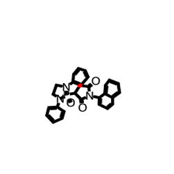 O=C1CC(P2(=O)N(c3ccccc3)CCN2c2ccccc2)C(=O)N1c1cccc2ccccc12